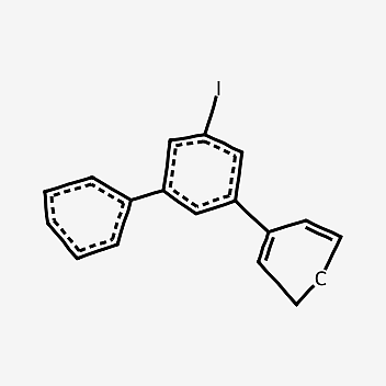 Ic1cc(C2=CCCC=C2)cc(-c2ccccc2)c1